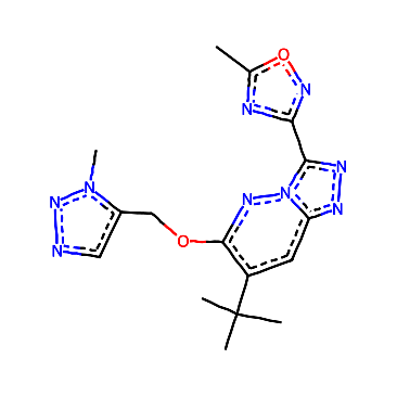 Cc1nc(-c2nnc3cc(C(C)(C)C)c(OCc4cnnn4C)nn23)no1